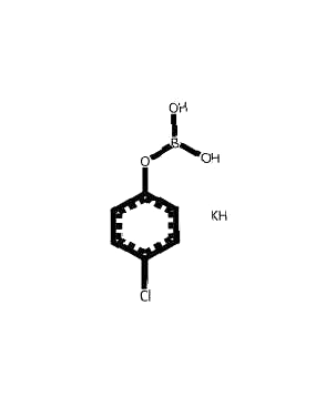 OB(O)Oc1ccc(Cl)cc1.[KH]